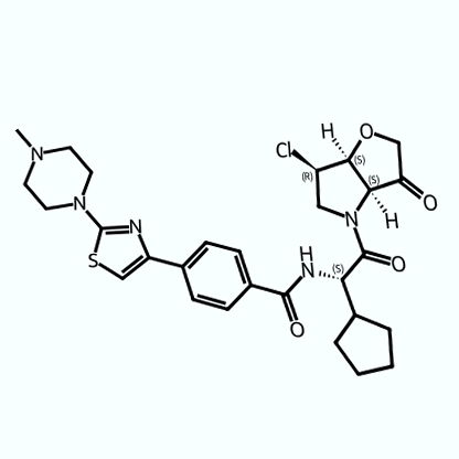 CN1CCN(c2nc(-c3ccc(C(=O)N[C@H](C(=O)N4C[C@@H](Cl)[C@H]5OCC(=O)[C@H]54)C4CCCC4)cc3)cs2)CC1